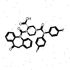 O=C1Cc2ccccc2N(C(=O)N2CCN(C(=O)N(c3ccc(F)cc3)c3ccc(F)cc3)C[C@H]2C(=O)O)c2ccccc21